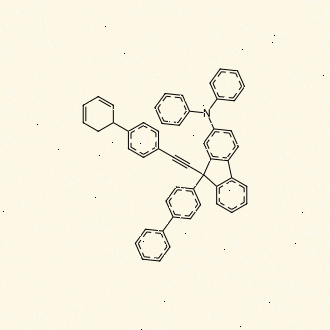 C(#CC1(c2ccc(-c3ccccc3)cc2)c2ccccc2-c2ccc(N(c3ccccc3)c3ccccc3)cc21)c1ccc(C2C=CC=CC2)cc1